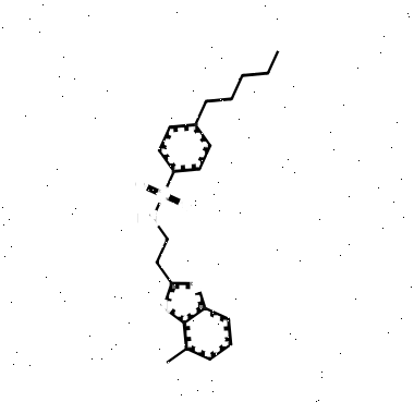 CCCCCc1ccc(S(=O)(=O)NCCc2nc3c(C)cccc3o2)cc1